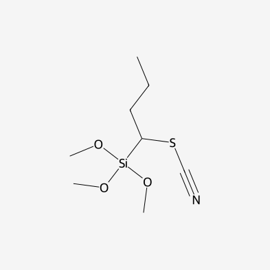 CCCC(SC#N)[Si](OC)(OC)OC